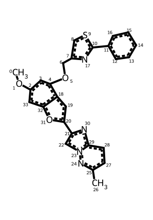 COc1cc(OCc2csc(-c3ccccc3)n2)c2cc(-c3cn4nc(C)ccc4n3)oc2c1